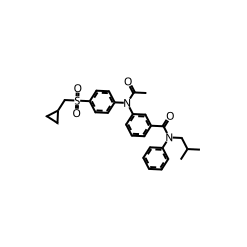 CC(=O)N(c1ccc(S(=O)(=O)CC2CC2)cc1)c1cccc(C(=O)N(CC(C)C)c2ccccc2)c1